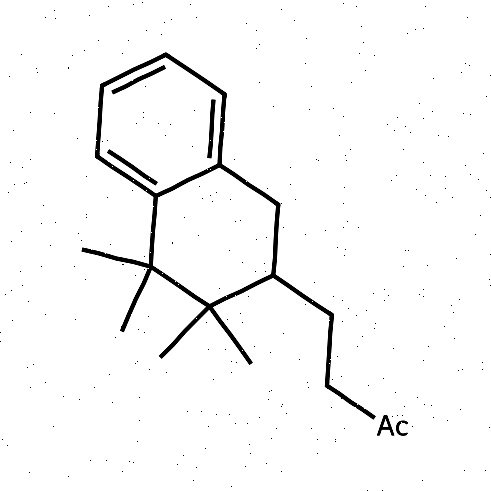 CC(=O)CCC1Cc2ccccc2C(C)(C)C1(C)C